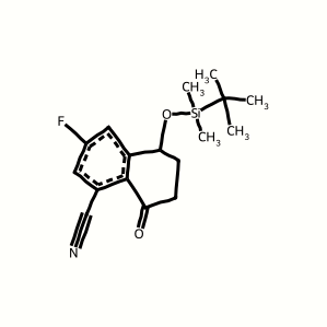 CC(C)(C)[Si](C)(C)OC1CCC(=O)c2c(C#N)cc(F)cc21